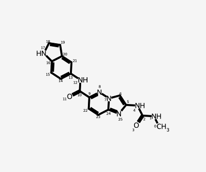 CNC(=O)Nc1cn2nc(C(=O)Nc3ccc4[nH]ccc4c3)ccc2n1